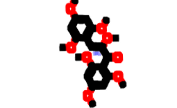 CO/C(=C\c1c(OC)cc(OC)cc1OC)C(=O)c1c(OC)cc(OC)cc1OC